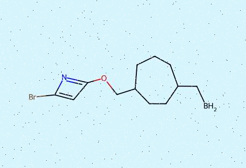 BCC1CCCC(COC2=NC(Br)=C2)CC1